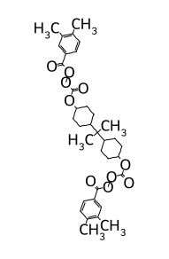 Cc1ccc(C(=O)OOC(=O)OC2CCC(C(C)(C)C3CCC(OC(=O)OOC(=O)c4ccc(C)c(C)c4)CC3)CC2)cc1C